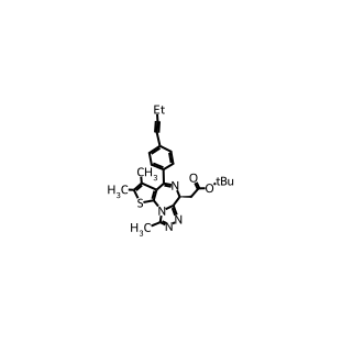 CCC#Cc1ccc(C2=N[C@@H](CC(=O)OC(C)(C)C)c3nnc(C)n3-c3sc(C)c(C)c32)cc1